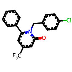 O=c1cc(C(F)(F)F)cc(-c2ccccc2)n1Cc1ccc(Cl)cc1